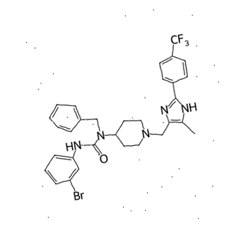 Cc1[nH]c(-c2ccc(C(F)(F)F)cc2)nc1CN1CCC(N(Cc2ccccc2)C(=O)Nc2cccc(Br)c2)CC1